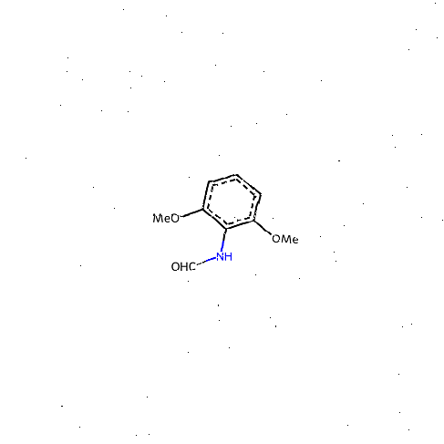 COc1cccc(OC)c1NC=O